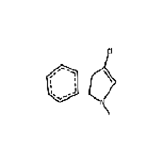 CN1C=C(Cl)CC1.c1ccccc1